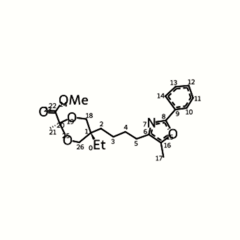 CC[C@]1(CCCCc2nc(-c3ccccc3)oc2C)CO[C@](C)(C(=O)OC)OC1